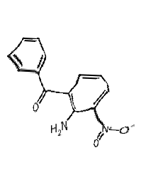 Nc1c(C(=O)c2ccccc2)cccc1[N+](=O)[O-]